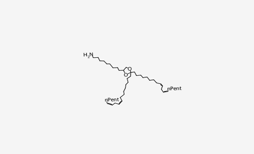 CCCCC/C=C\C/C=C\CCCCCCCCC1(CCCCCCCC/C=C\C/C=C\CCCCC)OCC(CCCCCCCCCN)O1